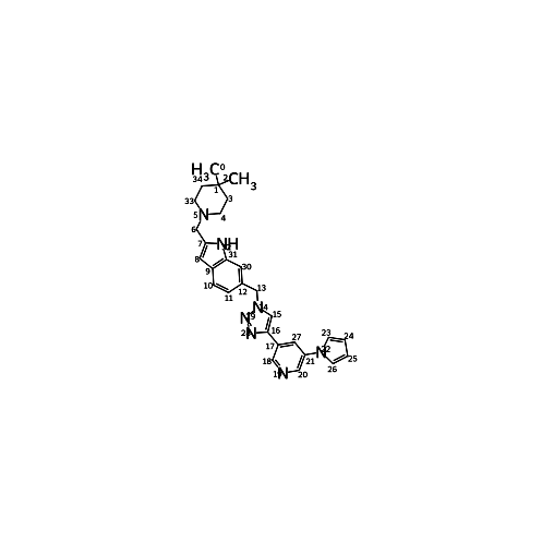 CC1(C)CCN(Cc2cc3ccc(Cn4cc(-c5cncc(-n6cccc6)c5)nn4)cc3[nH]2)CC1